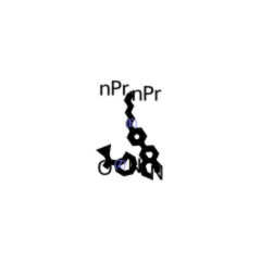 CCCC(=CCC/C=C/c1ccc(C2=CCC3=CN=CC=C(N4CC/C=C(\C(=O)C5CC5)CCC4)C3=C2)cc1)CCC